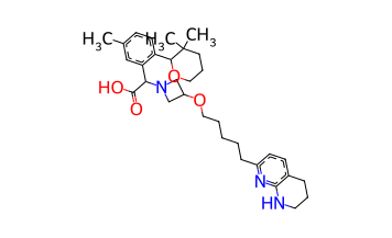 Cc1ccc(C2OCCCC2(C)C)c(C(C(=O)O)N2CC(OCCCCCc3ccc4c(n3)NCCC4)C2)c1